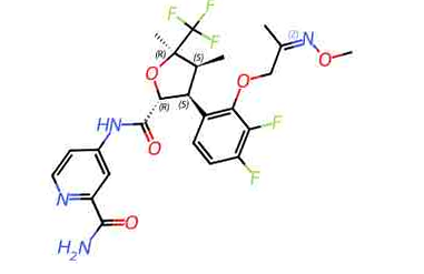 CO/N=C(/C)COc1c([C@H]2[C@H](C(=O)Nc3ccnc(C(N)=O)c3)O[C@@](C)(C(F)(F)F)[C@H]2C)ccc(F)c1F